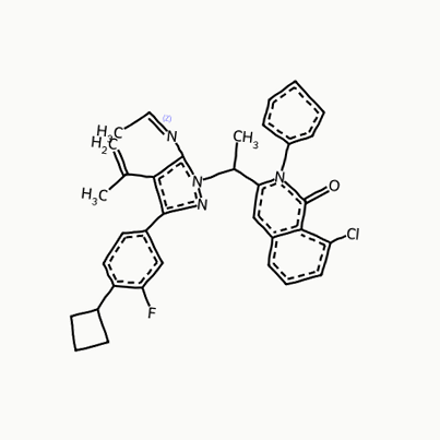 C=C(C)c1c(-c2ccc(C3CCC3)c(F)c2)nn(C(C)c2cc3cccc(Cl)c3c(=O)n2-c2ccccc2)c1/N=C\C